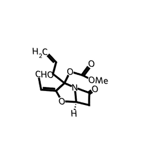 C=CCC1(OC(=O)OC)C(=CC=O)O[C@@H]2CC(=O)N21